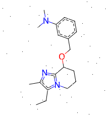 CCc1c(C)nc2n1CCCC2OCc1cccc(N(C)C)c1